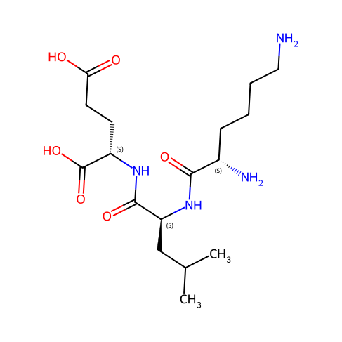 CC(C)C[C@H](NC(=O)[C@@H](N)CCCCN)C(=O)N[C@@H](CCC(=O)O)C(=O)O